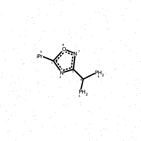 CC(C)c1nc(C(P)P)no1